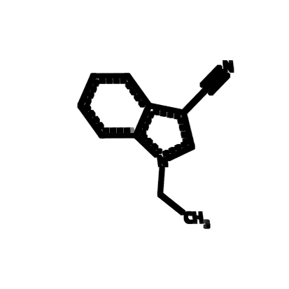 CCn1cc(C#N)c2ccccc21